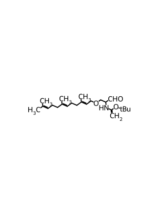 C=C(NC(C=O)COC/C=C(\C)CC/C=C(\C)CCC=C(C)C)OC(C)(C)C